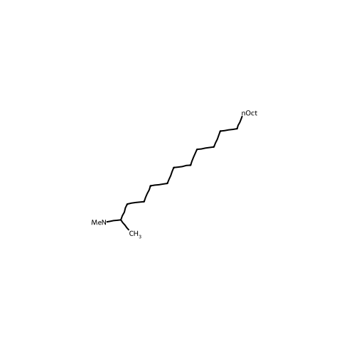 CCCCCCCCCCCCCCCCCCC(C)NC